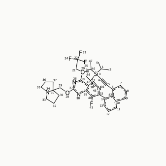 CC(C)[Si](C#Cc1cccc2cccc(-c3ncc4c(OCC(F)(F)F)nc(OCC56CCCN5CCC6)nc4c3F)c12)(C(C)C)C(C)C